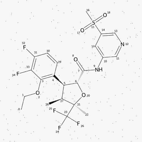 CCOc1c([C@H]2[C@H](C(=O)Nc3cncc(S(C)(=O)=O)c3)O[C@@](C)(C(F)(F)F)[C@H]2C)ccc(F)c1F